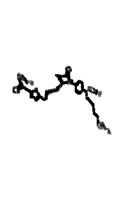 CCCCC[C@@H](O)c1ccc(N2C(=O)C[C@@H]2CCCc2ccc(C(=O)O)s2)cc1